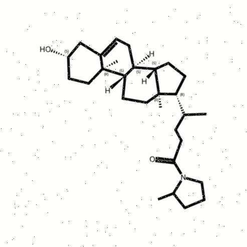 CC(CCC(=O)N1CCCC1C)[C@H]1CC[C@H]2[C@@H]3CC=C4C[C@@H](O)CC[C@]4(C)[C@H]3CC[C@]12C